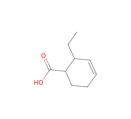 CCC1C=CCCC1C(=O)O